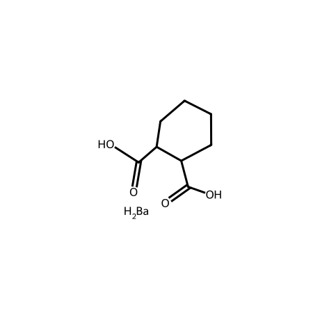 O=C(O)C1CCCCC1C(=O)O.[BaH2]